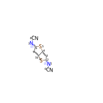 N#C/N=C1/C=C2S/C(=N\C#N)C=C2S1